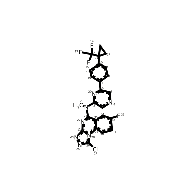 CN(c1cncc(-c2ccc(C3(C(F)(F)F)CC3)cc2)n1)c1nc2nnc(Cl)n2c2ccc(F)cc12